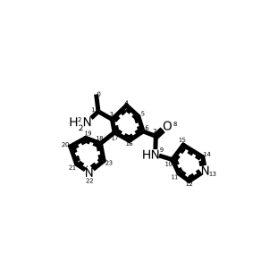 CC(N)c1ccc(C(=O)Nc2ccncc2)cc1-c1cccnc1